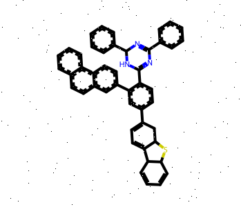 C1=CC2SC3CC(c4ccc(C5=NC(c6ccccc6)=NC(c6ccccc6)N5)c(-c5ccc6c(ccc7ccccc76)c5)c4)=CC=C3C2C=C1